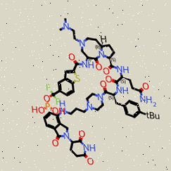 CN(C)CCN1CC[C@H]2CC[C@@H](C(=O)N[C@@H](CCC(N)=O)C(=O)N[C@@H](Cc3ccc(C(C)(C)C)cc3)C(=O)N3CCN(CCCNc4cccc5c4CN(C4CCC(=O)NC4=O)C5=O)CC3)N2C(=O)[C@@H](NC(=O)c2cc3cc(C(F)(F)OP(O)O)ccc3s2)C1